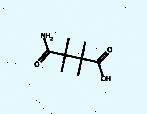 CC(C)(C(N)=O)C(C)(C)C(=O)O